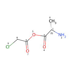 C[C@H](N)C(=O)OC(=O)CCl